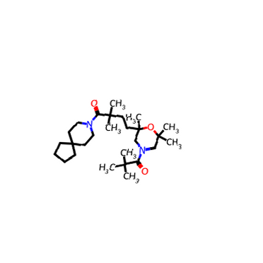 CC1(C)CN(C(=O)C(C)(C)C)CC(C)(CCC(C)(C)C(=O)N2CCC3(CCCC3)CC2)O1